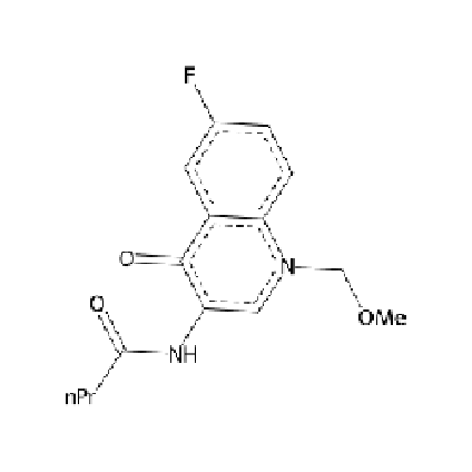 CCCC(=O)Nc1cn(COC)c2ccc(F)cc2c1=O